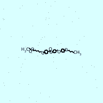 C=CC(=O)OCCCCCCOc1ccc(C(=O)Oc2ccc(COc3ccc(OCCCCCC)cc3)cc2)cc1